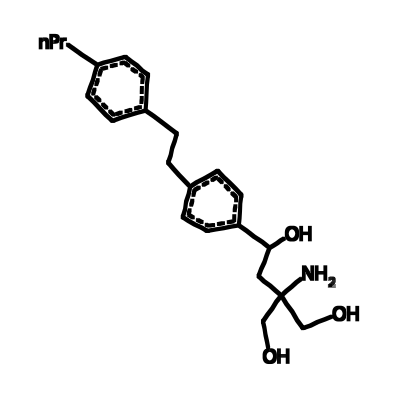 CCCc1ccc(CCc2ccc(C(O)CC(N)(CO)CO)cc2)cc1